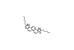 CCCCCc1nc2c(ccc3c4ccc5sc(CCCCC)nc5c4ccc32)s1